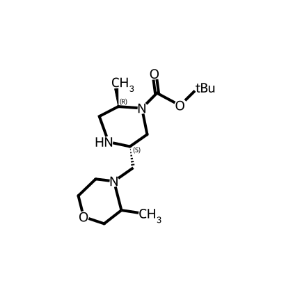 CC1COCCN1C[C@H]1CN(C(=O)OC(C)(C)C)[C@H](C)CN1